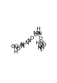 Cc1cc(-c2n[nH]c3ncc(-c4ccc(N5CCN(CCn6nc(C)c(C7CCC(=O)NC7=O)c6C)CC5)cc4)cc23)ccc1C(C)NC(=O)c1nc(C(C)(C)C)no1